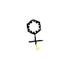 CC(C)(S)c1[c]cccc1